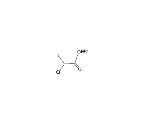 COC(=O)C(Cl)I